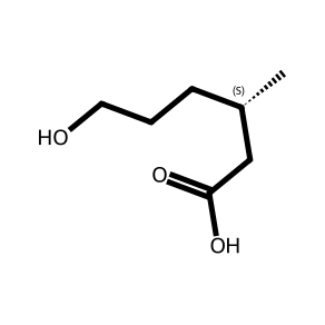 C[C@@H](CCCO)CC(=O)O